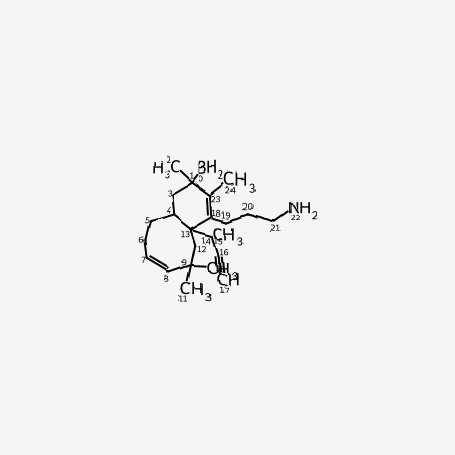 BC1(C)CC2CCC=CC(C)(C)CC2(C(C)C#C)C(CCCN)=C1C